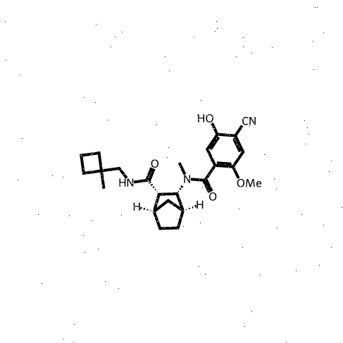 COc1cc(C#N)c(O)cc1C(=O)N(C)[C@@H]1[C@H]2CC[C@H](C2)[C@@H]1C(=O)NCC1(C)CCC1